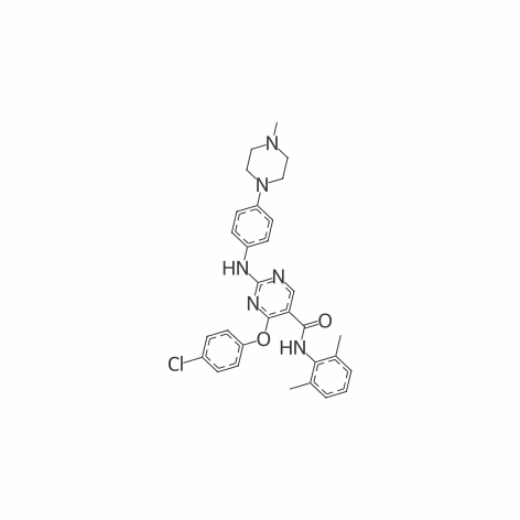 Cc1cccc(C)c1NC(=O)c1cnc(Nc2ccc(N3CCN(C)CC3)cc2)nc1Oc1ccc(Cl)cc1